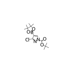 CC(C)(C)OC(=O)n1cc(B2OC(C)(C)C(C)(C)O2)c(Cl)n1